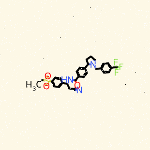 CCS(=O)(=O)c1ccc(C(CC#N)NC(=O)c2ccc(C3CCCN3Cc3ccc(C(F)(F)F)cc3)cc2)cc1